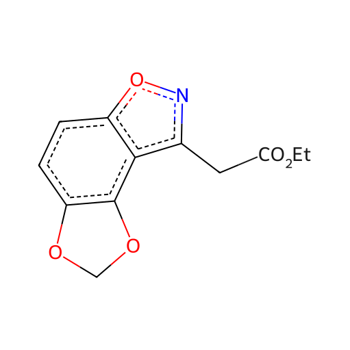 CCOC(=O)Cc1noc2ccc3c(c12)OCO3